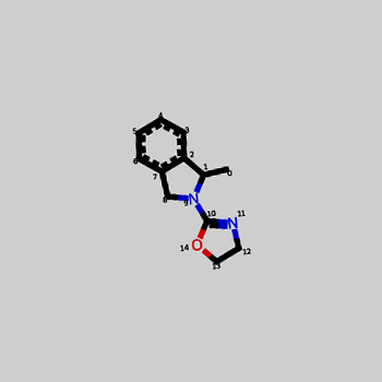 CC1c2ccccc2CN1C1=NCCO1